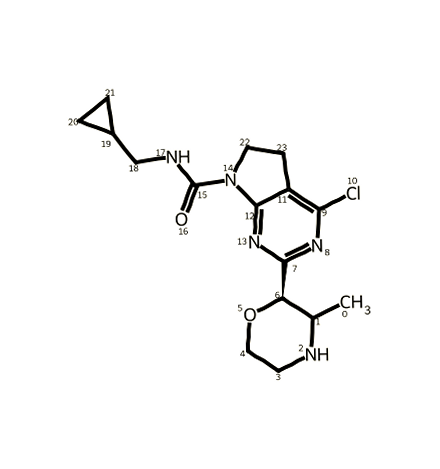 CC1NCCO[C@H]1c1nc(Cl)c2c(n1)N(C(=O)NCC1CC1)CC2